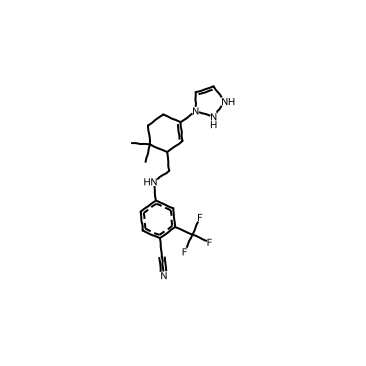 CC1(C)CCC(N2C=CNN2)=CC1CNc1ccc(C#N)c(C(F)(F)F)c1